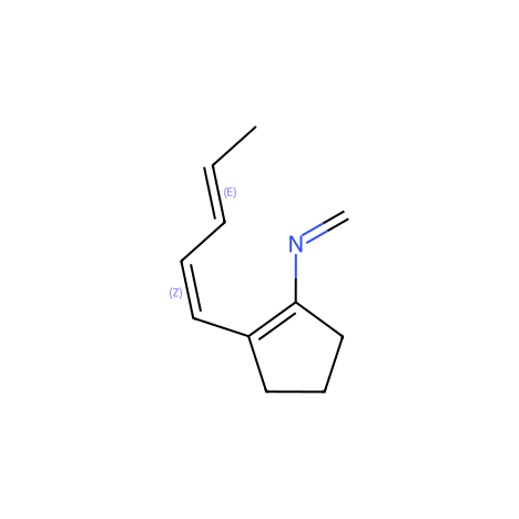 C=NC1=C(/C=C\C=C\C)CCC1